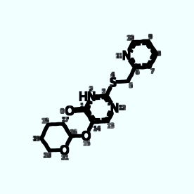 O=c1[nH]c(SCc2ccccn2)ncc1OC1CCCCO1